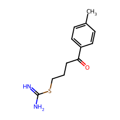 Cc1ccc(C(=O)CCCSC(=N)N)cc1